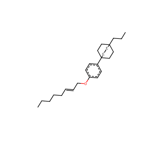 CCCCCC=CCOc1ccc(C23CCC(CCC)(CC2)CC3)cc1